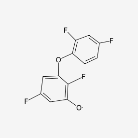 [O]c1cc(F)cc(Oc2ccc(F)cc2F)c1F